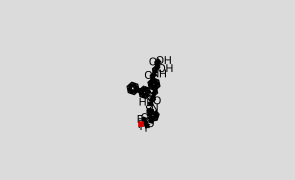 O=C(NC[C@@H](O)C(=O)O)c1ccc(CN(C(=O)Nc2nc3ccc4c(c3s2)OC(F)(F)C(F)(F)O4)c2ccc(C3=CCCCC3)cc2)cc1